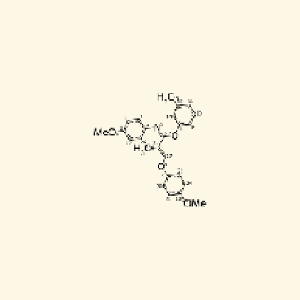 COc1ccc(/N=C(Oc2cccc(C)c2)\C(C)=C\Oc2ccc(OC)cc2)cc1